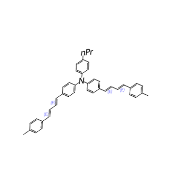 CCCc1ccc(N(c2ccc(/C=C/C=C/c3ccc(C)cc3)cc2)c2ccc(/C=C/C=C/c3ccc(C)cc3)cc2)cc1